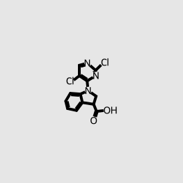 O=C(O)C1CN(c2nc(Cl)ncc2Cl)c2ccccc21